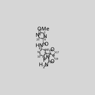 COc1cnc(C(=O)Nc2ccc(F)c(C34COCC3COC(N)=N4)c2)cn1